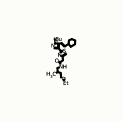 CCOCCC(C)CNC(=O)Cc1csc(-c2cnn(C(C)(C)C)c2/C=C/C2CCCCC2)n1